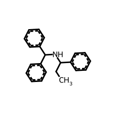 CCC(NC(c1ccccc1)c1ccccc1)c1ccccc1